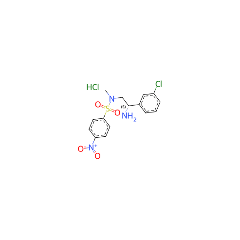 CN(C[C@@H](N)c1cccc(Cl)c1)S(=O)(=O)c1ccc([N+](=O)[O-])cc1.Cl